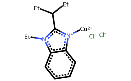 CCC(CC)c1n(CC)c2ccccc2[n+]1[Cu+2].[Cl-].[Cl-]